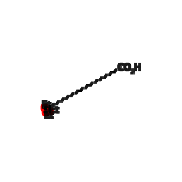 CCO[Si](CCCCCCCCCCCCCCCCCCCCCCCCCCCCCCC(=O)O)(OCC)OCC